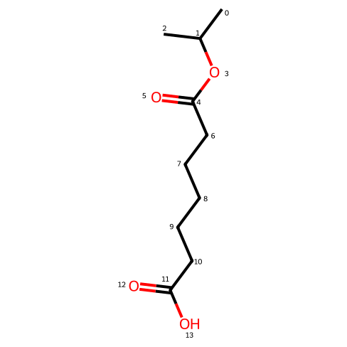 CC(C)OC(=O)CCCCCC(=O)O